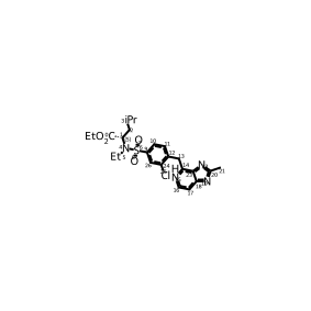 CCOC(=O)[C@H](CC(C)C)N(CC)S(=O)(=O)c1ccc(Cc2[nH]ccc3nc(C)nc2-3)c(Cl)c1